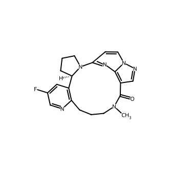 CN1CCCc2ncc(F)cc2[C@H]2CCCN2c2ccn3ncc(c3n2)C1=O